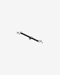 C=CCCCCCCCCOC(=O)CCCCCCCCCCCCC